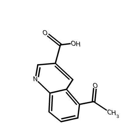 CC(=O)c1cccc2ncc(C(=O)O)cc12